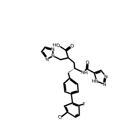 O=C(N[C@H](Cc1ccc(-c2cc(Cl)ccc2F)cc1)CC(Cn1nccn1)C(=O)O)c1cnn[nH]1